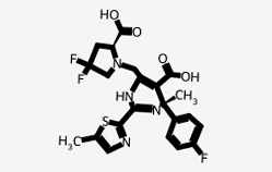 Cc1cnc(C2=N[C@@](C)(c3ccc(F)cc3)C(C(=O)O)=C(CN3CC(F)(F)C[C@H]3C(=O)O)N2)s1